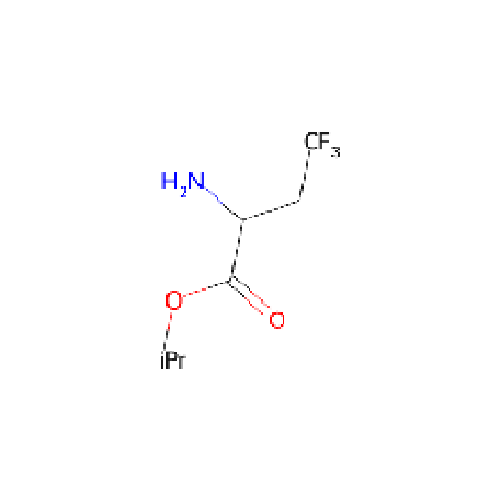 CC(C)OC(=O)C(N)CC(F)(F)F